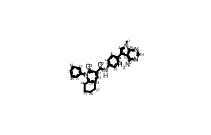 Cn1cc(-c2ccc(NC(=O)c3cc4c(n(-c5ccccc5)c3=O)CCCC4)cc2)c2c(N)ncnc21